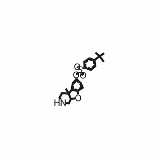 CC(C)(C)c1ccc(S(=O)(=O)Oc2ccc3c(c2)C2(C)CCNCC2O3)cc1